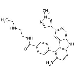 Bc1ccc2[nH]c3cnc(-c4cnn(C)c4)cc3c2c1-c1ccc(C(=O)NCCNCC)cc1